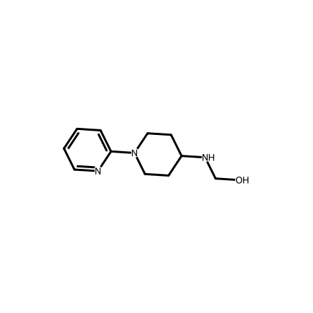 OCNC1CCN(c2ccccn2)CC1